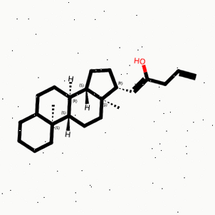 C=CCC(O)=C[C@H]1CC[C@H]2[C@@H]3CCC4CCCC[C@]4(C)[C@H]3CC[C@]12C